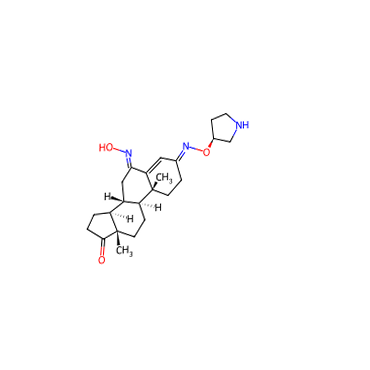 C[C@]12CCC(=NO[C@H]3CCNC3)C=C1C(=NO)C[C@@H]1[C@@H]2CC[C@]2(C)C(=O)CC[C@@H]12